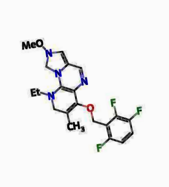 CCN1CC(C)=C(OCc2c(F)ccc(F)c2F)C2=C1N1CN(OC)C=C1C=N2